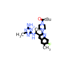 Cc1nc(N)nc(NC(C)c2cc3cc(C)c(F)cc3nc2N2CCN(C(=O)C(C)(C)C)CC2)n1